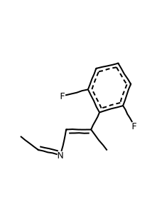 C/C=N\C=C(/C)c1c(F)cccc1F